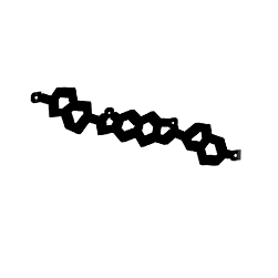 Clc1ccc2cc(-c3cc4cc5cc6cc(-c7ccc8cc(Cl)ccc8c7)oc6cc5cc4o3)ccc2c1